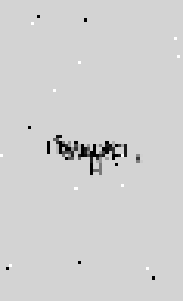 Cc1ncc(CC(=O)Nc2cc([C@H]3CCC(OC(=O)NCC(F)F)C3)[nH]n2)s1